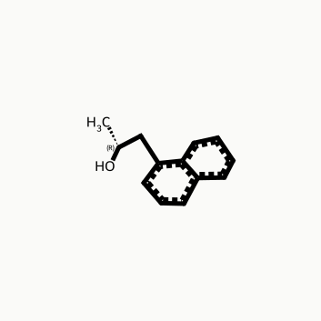 C[C@@H](O)Cc1cccc2ccccc12